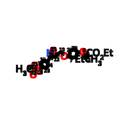 CCOC(=O)[C@](C)(CC)Oc1ccc(OCc2cc(-c3ccc(OS(C)(=O)=O)cc3)no2)cc1